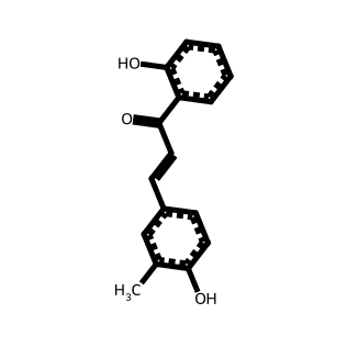 Cc1cc(C=CC(=O)c2ccccc2O)ccc1O